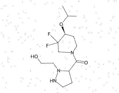 CC(C)O[C@H]1CCN(C(=O)C2CCNN2CCO)CC1(F)F